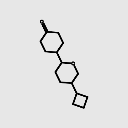 O=C1CCC(C2CCC(C3CCC3)CO2)CC1